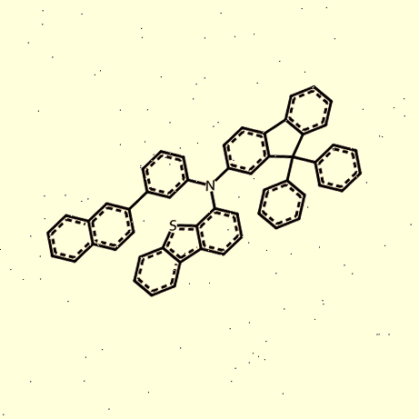 c1ccc(C2(c3ccccc3)c3ccccc3-c3ccc(N(c4cccc(-c5ccc6ccccc6c5)c4)c4cccc5c4sc4ccccc45)cc32)cc1